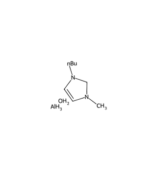 CCCCN1C=CN(C)C1.O.[AlH3]